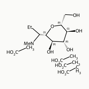 CC(=O)O.CC(=O)O.CC(=O)O.CC(=O)O.CCC(NC)[C@@H]1O[C@H](CO)[C@@H](O)[C@H](O)[C@H]1O